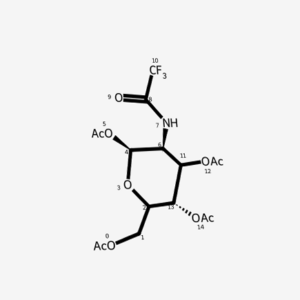 CC(=O)OCC1O[C@@H](OC(C)=O)[C@@H](NC(=O)C(F)(F)F)C(OC(C)=O)[C@@H]1OC(C)=O